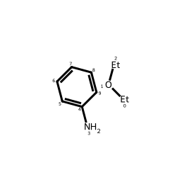 CCOCC.Nc1ccccc1